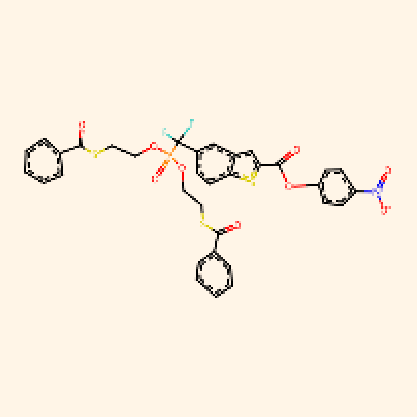 O=C(SCCOP(=O)(OCCSC(=O)c1ccccc1)C(F)(F)c1ccc2sc(C(=O)Oc3ccc([N+](=O)[O-])cc3)cc2c1)c1ccccc1